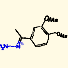 COc1ccc(/C(C)=N/N)cc1OC